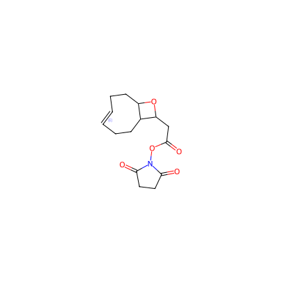 O=C(CC1OC2CC/C=C/CCC21)ON1C(=O)CCC1=O